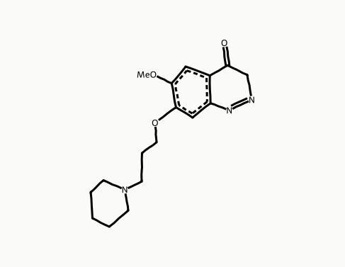 COc1cc2c(cc1OCCCN1CCCCC1)N=NCC2=O